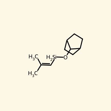 CC(C)=C[SiH2]OC1C2CCC1CC2